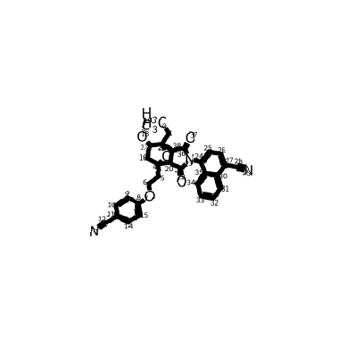 CCC12OC(CCOc3ccc(C#N)cc3)(CC1OC)C1C(=O)N(c3ccc(C#N)c4ccccc34)C(=O)C12